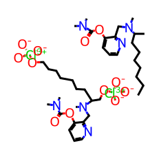 CCCCCCCC(C)N(C)Cc1ncccc1OC(=O)N(C)C.CN(C)C(=O)Oc1cccnc1CN(C)C(CCCCCCCO[Cl+3]([O-])([O-])[O-])CO[Cl+3]([O-])([O-])[O-]